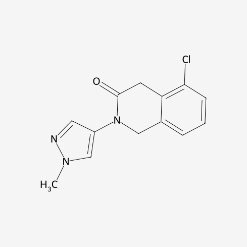 Cn1cc(N2Cc3cccc(Cl)c3CC2=O)cn1